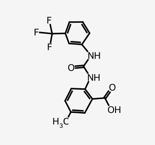 Cc1ccc(NC(=O)Nc2cccc(C(F)(F)F)c2)c(C(=O)O)c1